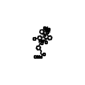 COC(=O)CCc1cccc(CONC(=O)[C@@H]2c3ccccc3C(=O)N([C@H]3CCCC[C@@H]3NS(C)(=O)=O)[C@H]2c2ccc(Cl)cc2)c1